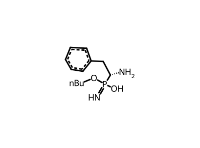 CCCCOP(=N)(O)[C@@H](N)Cc1ccccc1